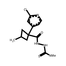 CNC(=S)NNC(=O)C1(c2ccnc(Cl)c2)CC(C)C1